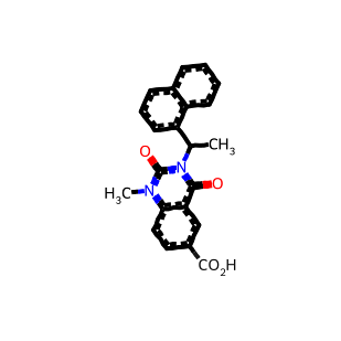 CC(c1cccc2ccccc12)n1c(=O)c2cc(C(=O)O)ccc2n(C)c1=O